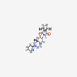 O=C1C2C(C(=O)N1C[C@H]1CC[C@H]3CN(c4ccccn4)CCN3C1)[C@H]1CC[C@@H]2C1